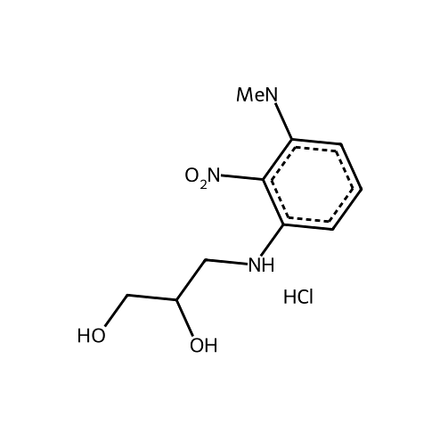 CNc1cccc(NCC(O)CO)c1[N+](=O)[O-].Cl